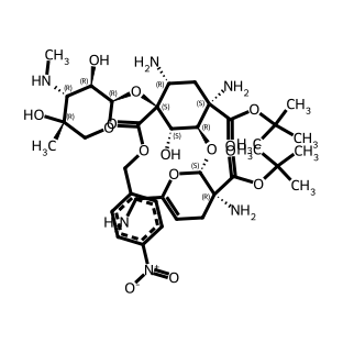 CN[C@@H]1[C@@H](O)[C@@H](O[C@@]2(C(=O)OCc3ccc([N+](=O)[O-])cc3)[C@H](N)C[C@@](N)(C(=O)OC(C)(C)C)[C@@H](O[C@H]3OC(CN)=CC[C@]3(N)C(=O)OC(C)(C)C)[C@@H]2O)OC[C@]1(C)O